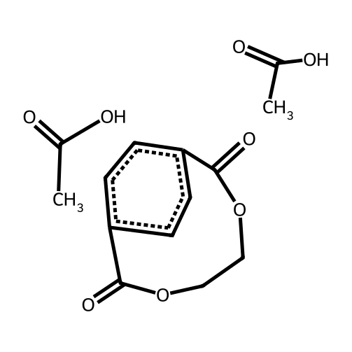 CC(=O)O.CC(=O)O.O=C1OCCOC(=O)c2ccc1cc2